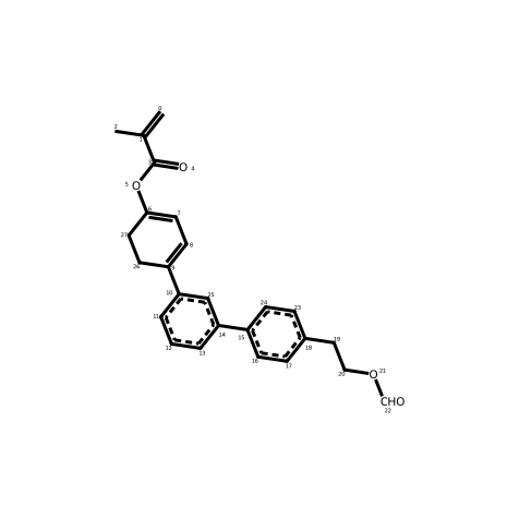 C=C(C)C(=O)OC1=CC=C(c2cccc(-c3ccc(CCOC=O)cc3)c2)CC1